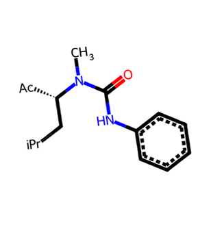 CC(=O)[C@@H](CC(C)C)N(C)C(=O)Nc1ccccc1